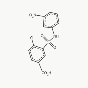 O=C(O)c1ccc(Cl)c(S(=O)(=O)Nc2cccc([N+](=O)[O-])c2)c1